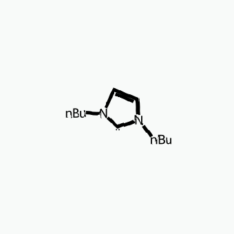 CCCCN1[C]N(CCCC)C=C1